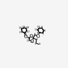 CCCC1(COc2ccccc2)OCC(Oc2ccccc2)O1